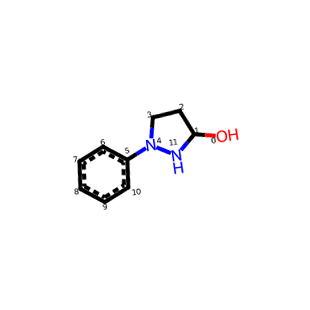 OC1CCN(c2ccccc2)N1